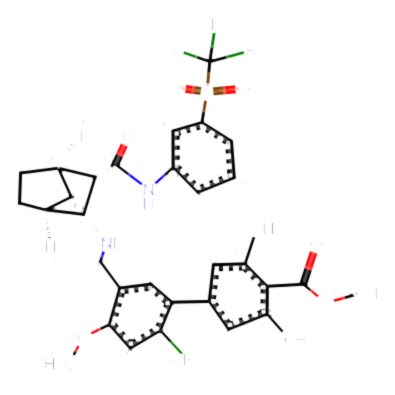 COC(=O)c1c(C)cc(-c2cc(CN[C@@H]3[C@H]4CC[C@H](C4)[C@@H]3C(=O)Nc3cccc(S(=O)(=O)C(F)(F)F)c3)c(OC)cc2F)cc1C